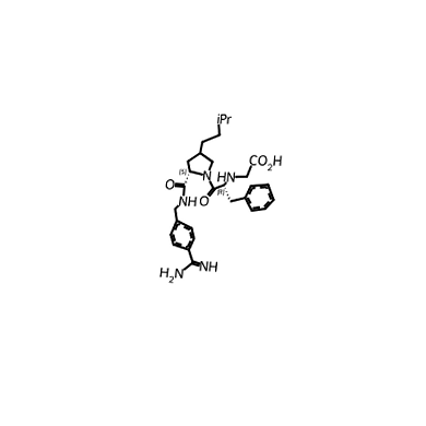 CC(C)CCC1C[C@@H](C(=O)NCc2ccc(C(=N)N)cc2)N(C(=O)[C@@H](Cc2ccccc2)NCC(=O)O)C1